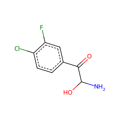 NC(O)C(=O)c1ccc(Cl)c(F)c1